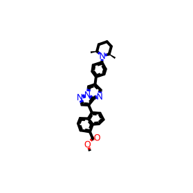 COC(=O)c1cccc2c(-c3cnn4cc(-c5ccc(N6[C@H](C)CCC[C@@H]6C)cc5)cnc34)cccc12